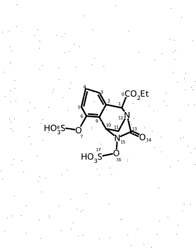 CCOC(=O)C1c2cccc(OS(=O)(=O)O)c2C2CN1C(=O)N2OS(=O)(=O)O